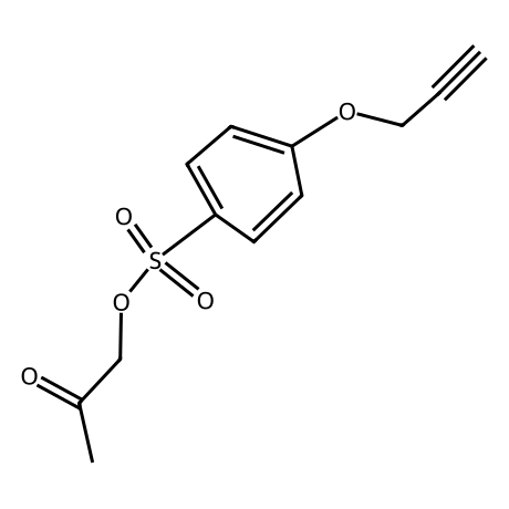 C#CCOc1ccc(S(=O)(=O)OCC(C)=O)cc1